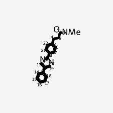 CNC(=O)CCc1ccc(-c2ncc(-c3ccccc3)cn2)cc1